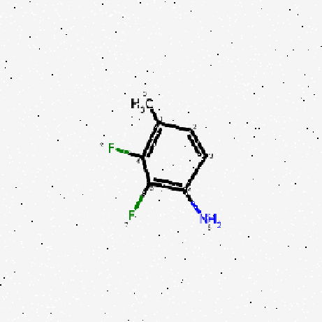 Cc1ccc(N)c(F)c1F